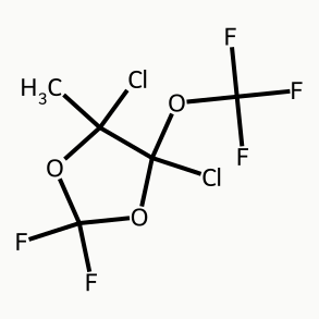 CC1(Cl)OC(F)(F)OC1(Cl)OC(F)(F)F